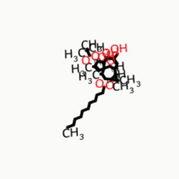 CCCCCCCCCCCC(=O)O[C@@]12CC(C)C34C=C(C)[C@H](OC(=O)C(C)(C)C)[C@@]3(O)[C@H](O)C(CO)=C[C@H](C4=O)[C@@H]1C2(C)C